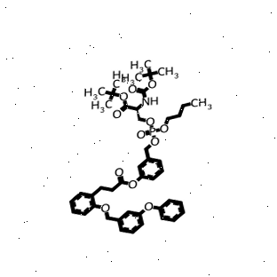 CCCCOP(=O)(OCc1cccc(OC(=O)CCc2ccccc2OCc2cccc(Oc3ccccc3)c2)c1)OC[C@H](NC(=O)OC(C)(C)C)C(=O)OC(C)(C)C